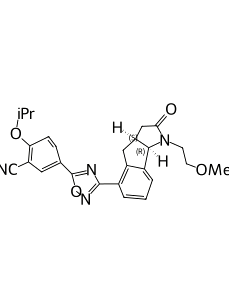 COCCN1C(=O)C[C@@H]2Cc3c(-c4noc(-c5ccc(OC(C)C)c(C#N)c5)n4)cccc3[C@@H]21